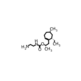 CC[C@H]1C[C@H](C)CCC=C1C[C@H](C)OC(=O)NCCN